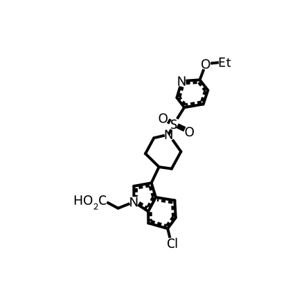 CCOc1ccc(S(=O)(=O)N2CCC(c3cn(CC(=O)O)c4cc(Cl)ccc34)CC2)cn1